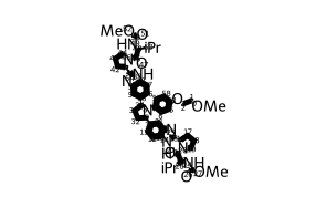 COCCOc1ccc(N2[C@@H](c3ccc4[nH]c([C@@H]5CCCN5C(=O)C(NC(=O)OC)C(C)C)nc4c3)CC[C@@H]2c2ccc3[nH]c([C@@H]4CCCN4C(=O)[C@@H](NC(=O)OC)C(C)C)nc3c2)cc1